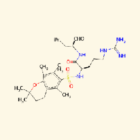 Cc1c(C)c(S(=O)(=O)N[C@H](CCCNC(=N)N)C(=O)N[C@H](C=O)CC(C)C)c(C)c2c1OC(C)(C)CC2